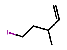 C=CC(C)CCI